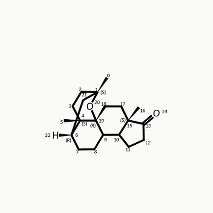 C[C@@]12CC[C@@]3(C)[C@H](CCC4C5CCC(=O)[C@@]5(C)CC[C@@]43O1)C2